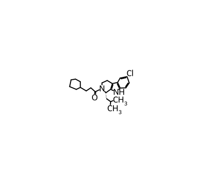 CC(C)C[C@H]1c2[nH]c3ccc(Cl)cc3c2CCN1C(=O)CCC1CCCCC1